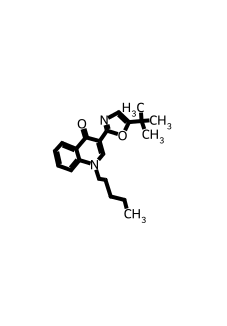 CCCCCn1cc(-c2ncc(C(C)(C)C)o2)c(=O)c2ccccc21